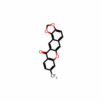 O=c1c2ccc(C(F)(F)F)cc2oc2cc3ccc4c(c3cc12)OCO4